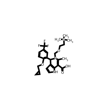 CC1=C(C(=O)O)c2[nH]ccc2C(c2cc(C(F)(F)F)ccc2OCC2CC2)N1COCC[Si](C)(C)C